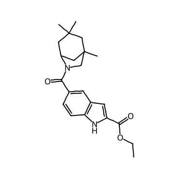 CCOC(=O)c1cc2cc(C(=O)N3CC4(C)CC3CC(C)(C)C4)ccc2[nH]1